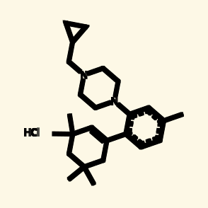 Cc1ccc(C2=CC(C)(C)CC(C)(C)C2)c(N2CCN(CC3CC3)CC2)c1.Cl